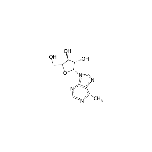 Cc1ncnc2c1ncn2[C@@H]1O[C@H](CO)[C@@H](O)[C@@H]1O